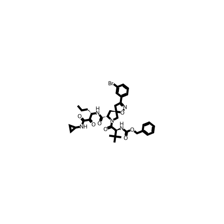 CCC[C@H](NC(=O)[C@@H]1C[C@]2(CC(c3cccc(Br)c3)=NO2)CN1C(=O)[C@@H](NC(=O)OCc1ccccc1)C(C)(C)C)C(=O)C(=O)NC1CC1